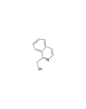 CC(C)Cc1nccc2ccccc12